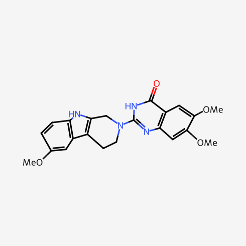 COc1ccc2[nH]c3c(c2c1)CCN(c1nc2cc(OC)c(OC)cc2c(=O)[nH]1)C3